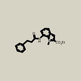 CCOC(=O)c1cc2cccc(NC(=O)CCc3ccccc3)c2n1C